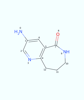 Nc1cnc2c(c1)C(=O)NCCC2